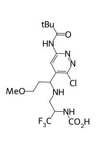 COCCC(NCC(NC(=O)O)C(F)(F)F)c1cc(NC(=O)C(C)(C)C)nnc1Cl